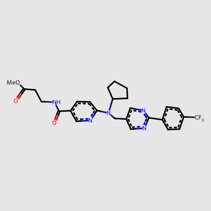 COC(=O)CCNC(=O)c1ccc(N(Cc2cnc(-c3ccc(C(F)(F)F)cc3)nc2)C2CCCC2)nc1